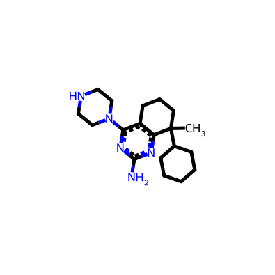 CC1(C2CCCCC2)CCCc2c(N3CCNCC3)nc(N)nc21